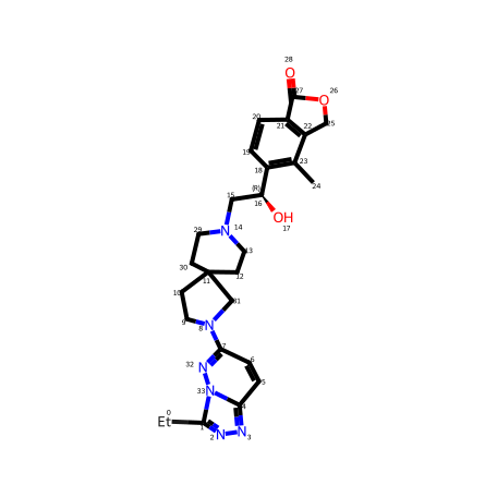 CCc1nnc2ccc(N3CCC4(CCN(C[C@H](O)c5ccc6c(c5C)COC6=O)CC4)C3)nn12